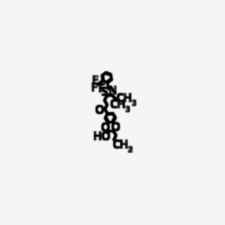 C=CCC(Oc1ccc(C(=O)CCc2sc(-c3ccccc3C(F)(F)F)nc2C(C)C)cc1)C(=O)O